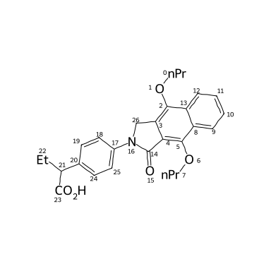 CCCOc1c2c(c(OCCC)c3ccccc13)C(=O)N(c1ccc(C(CC)C(=O)O)cc1)C2